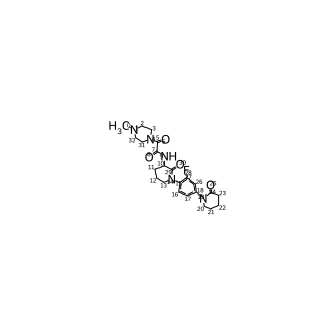 CN1CCN(C(=O)C(=O)NC2CCCN(c3ccc(N4CCCCC4=O)cc3F)C2=O)CC1